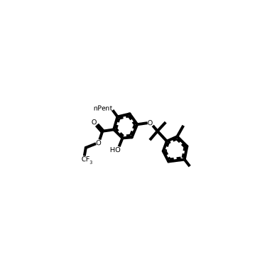 CCCCCc1cc(OC(C)(C)c2ccc(C)cc2C)cc(O)c1C(=O)OCC(F)(F)F